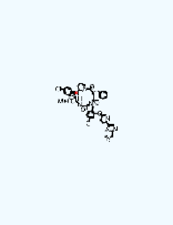 COC[C@H]1NC(=O)[C@H](C)N(Cc2ccc(Cl)cc2Oc2ccc(-c3cnc(CN(C)C)n3C)nc2)C(=O)C[C@@H](Cc2ccccc2)C(=O)N2CCC[C@@](Cc3ccc(Cl)cc3)(C2)NC1=O